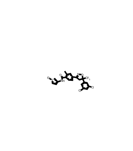 Cc1cc(C2=NOC(c3cc(Cl)cc(Cl)c3)(C(F)(F)F)C2)ccc1C(=O)Nc1cc[s+]([O-])c1